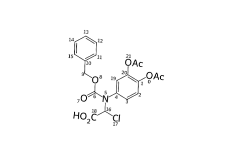 CC(=O)Oc1ccc(N(C(=O)OCc2ccccc2)C(Cl)C(=O)O)cc1OC(C)=O